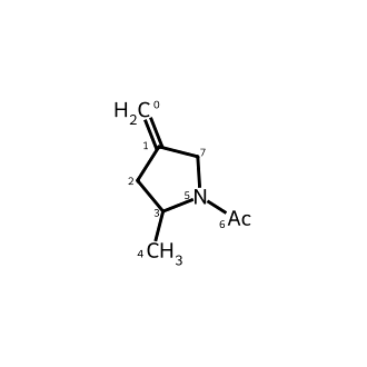 C=C1CC(C)N(C(C)=O)C1